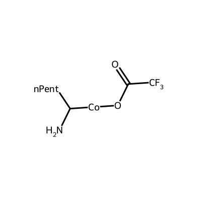 CCCCC[CH](N)[Co][O]C(=O)C(F)(F)F